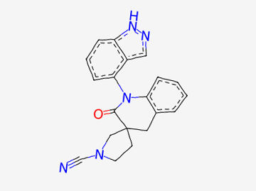 N#CN1CCC2(Cc3ccccc3N(c3cccc4[nH]ncc34)C2=O)C1